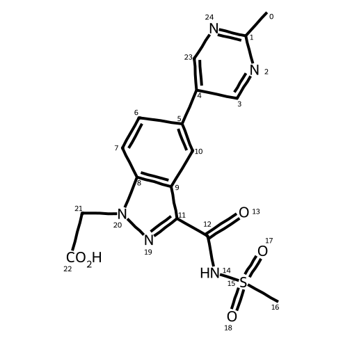 Cc1ncc(-c2ccc3c(c2)c(C(=O)NS(C)(=O)=O)nn3CC(=O)O)cn1